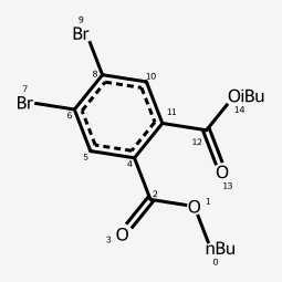 CCCCOC(=O)c1cc(Br)c(Br)cc1C(=O)OCC(C)C